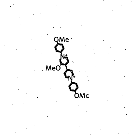 COc1ccc(-[n+]2ccc(-c3cc[n+](-c4ccc(OC)cc4)cc3OC)cc2)cc1